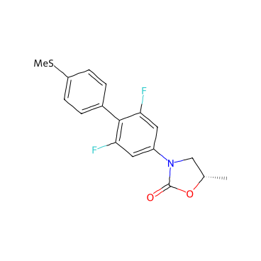 CSc1ccc(-c2c(F)cc(N3C[C@H](C)OC3=O)cc2F)cc1